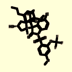 CCCc1ccc(OC)c(C2([N+]3(C)C[C@H](O)C[C@H]3C(=O)NC)C(=O)N(S(=O)(=O)c3ccc(OC)cc3OC(F)(F)F)c3ccc(Cl)cc32)c1